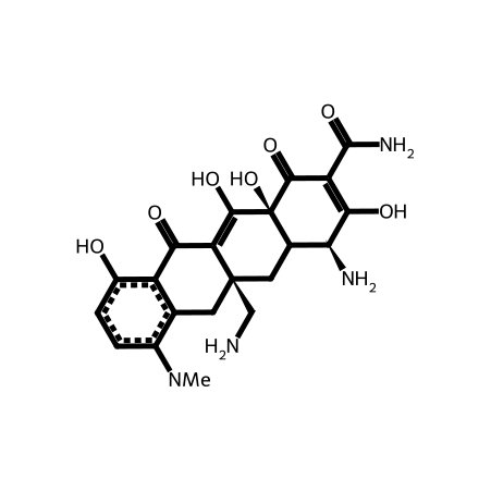 CNc1ccc(O)c2c1C[C@@]1(CN)CC3[C@H](N)C(O)=C(C(N)=O)C(=O)[C@@]3(O)C(O)=C1C2=O